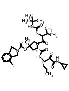 CCC[C@H](NC(=O)[C@@H]1C[C@](C)(OC(=O)N2Cc3cccc(F)c3C2)CN1C(=O)C(NC(=O)NC(C)(C)C)C(C)C)C(=O)C(=O)NC1CC1